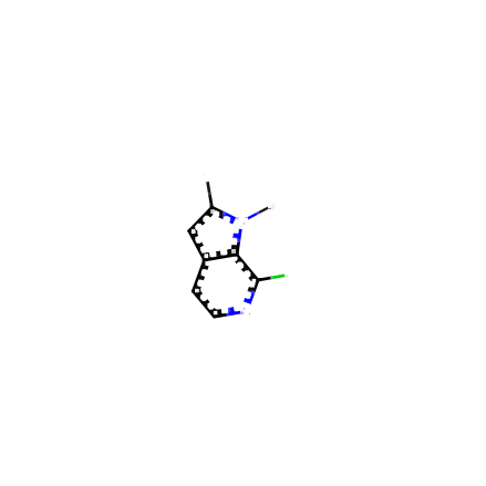 CC(C)n1c(C=O)cc2ccnc(Cl)c21